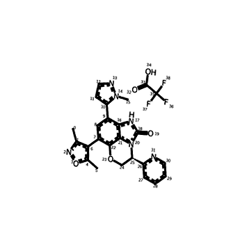 Cc1noc(C)c1-c1cc(-c2ccnn2C)c2[nH]c(=O)n3c2c1OC[C@@H]3c1ccccn1.O=C(O)C(F)(F)F